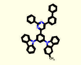 CC1C=Cc2c(c3ccccc3n2-c2cc(-c3cc(-c4cccc(-c5ccccc5)c4)nc(-c4ccccc4)n3)cc(-n3c4ccccc4c4ccccc43)c2)C1